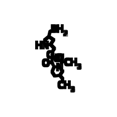 BCC1CNC(CONC(=O)[C@@H]2CCC(CC)CN2C(C)=O)C1